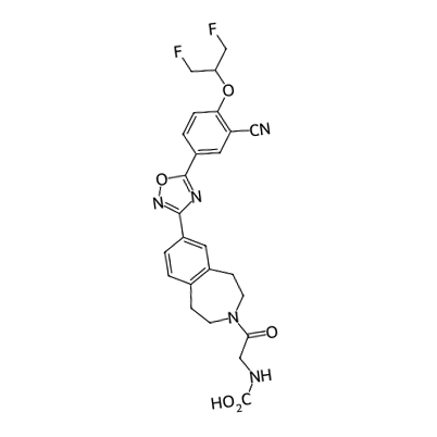 N#Cc1cc(-c2nc(-c3ccc4c(c3)CCN(C(=O)CNC(=O)O)CC4)no2)ccc1OC(CF)CF